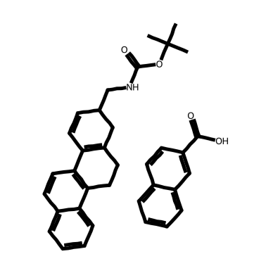 CC(C)(C)OC(=O)NCC1C=CC2=C(CCc3c2ccc2ccccc32)C1.O=C(O)c1ccc2ccccc2c1